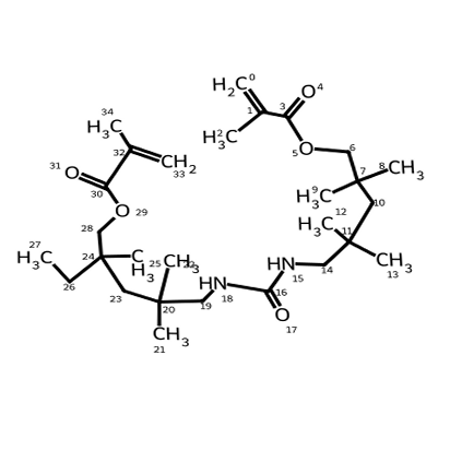 C=C(C)C(=O)OCC(C)(C)CC(C)(C)CNC(=O)NCC(C)(C)CC(C)(CC)COC(=O)C(=C)C